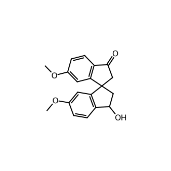 COc1ccc2c(c1)C1(CC2=O)CC(O)c2ccc(OC)cc21